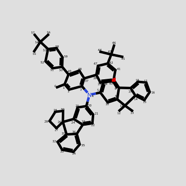 Cc1cc(N(c2ccc3c(c2)C(C)(C)c2ccccc2-3)c2ccc3c(c2)C2(CCCC2)c2ccccc2-3)c(-c2cccc(C(C)(C)C)c2)cc1-c1ccc(C(C)(C)C)cc1